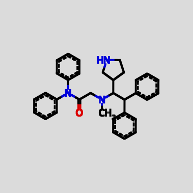 CN(CC(=O)N(c1ccccc1)c1ccccc1)C(C1CCNC1)C(c1ccccc1)c1ccccc1